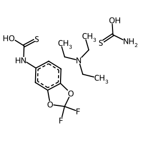 CCN(CC)CC.NC(O)=S.OC(=S)Nc1ccc2c(c1)OC(F)(F)O2